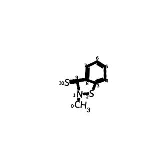 Cn1sc2ccccc2c1=S